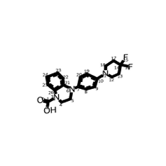 O=C(O)N1CCN(c2ccc(N3CCC(F)(F)CC3)cc2)c2ccccc21